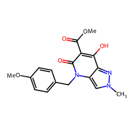 COC(=O)c1c(O)c2nn(C)cc2n(Cc2ccc(OC)cc2)c1=O